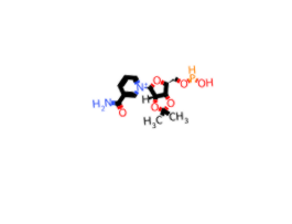 CC1(C)OC2[C@@H](COPO)O[C@@H]([n+]3cccc(C(N)=O)c3)[C@H]2O1